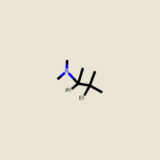 CCC(C)(C)C(C)(C(C)C)N(C)C